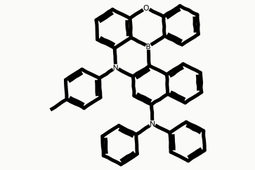 Cc1ccc(N2c3cccc4c3B(c3ccccc3O4)c3c2cc(N(c2ccccc2)c2ccccc2)c2ccccc32)cc1